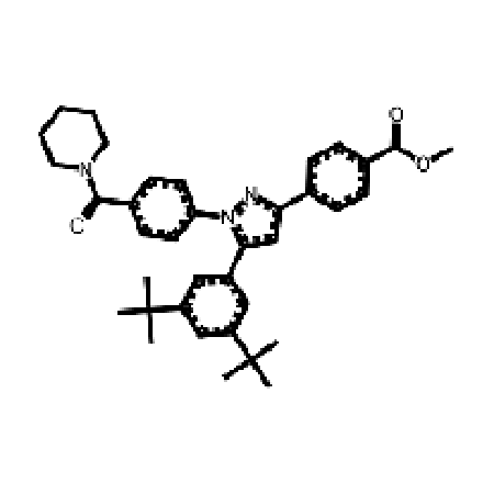 COC(=O)c1ccc(-c2cc(-c3cc(C(C)(C)C)cc(C(C)(C)C)c3)n(-c3ccc(C(=O)N4CCCCC4)cc3)n2)cc1